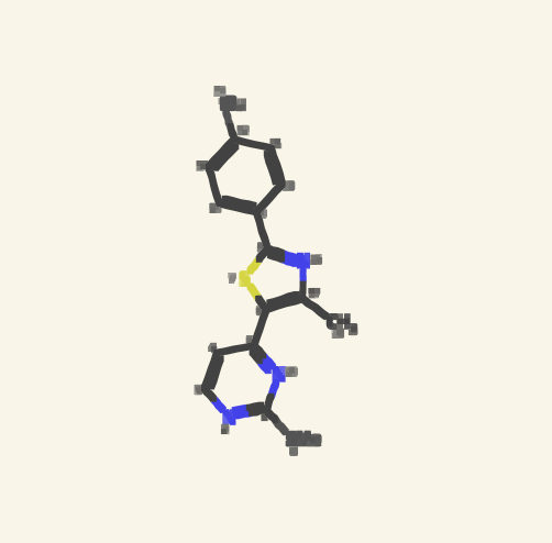 CSc1nccc(-c2sc(-c3ccc(C(C)(C)C)cc3)nc2C)n1